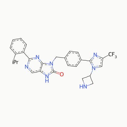 CC(C)c1ccccc1-c1ncc2[nH]c(=O)n(Cc3ccc(-c4nc(C(F)(F)F)cn4C4CNC4)cc3)c2n1